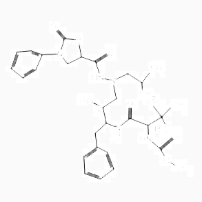 COC(=O)NC(C(=O)NC(Cc1ccccc1)[C@@H](O)CN(CC(C)C)NC(=O)C1CN(c2ccccc2)C(=O)O1)C(C)(C)C